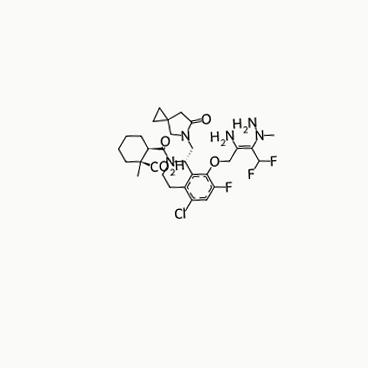 CN(N)/C(=C(\N)COc1c(F)cc(Cl)c2c1[C@@H](CN1CC3(CC3)CC1=O)N(C(=O)[C@@H]1CCCC[C@]1(C)C(=O)O)CC2)C(F)F